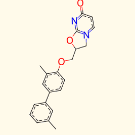 Cc1cccc(-c2ccc(OCC3Cn4ccc(=O)nc4O3)c(C)c2)c1